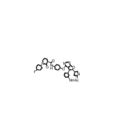 CC(=O)Nc1cccc(-c2c(-c3cnn(C)c3)oc3ncnc(Oc4ccc(NC(=O)c5cccn(-c6ccc(F)cc6)c5=O)cc4)c23)c1